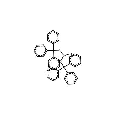 OB(OC(c1ccccc1)(c1ccccc1)c1ccccc1)OC(c1ccccc1)(c1ccccc1)c1ccccc1